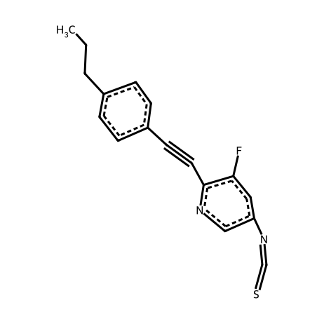 CCCc1ccc(C#Cc2ncc(N=C=S)cc2F)cc1